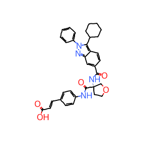 O=C(O)/C=C/c1ccc(NC(=O)[C@]2(NC(=O)c3ccc4c(C5CCCCC5)n(-c5ccccc5)nc4c3)CCOC2)cc1